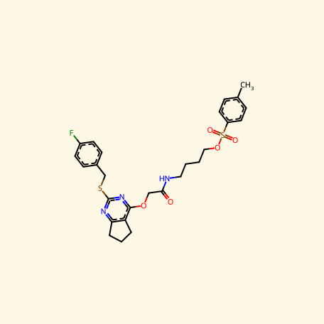 Cc1ccc(S(=O)(=O)OCCCCNC(=O)COc2nc(SCc3ccc(F)cc3)nc3c2CCC3)cc1